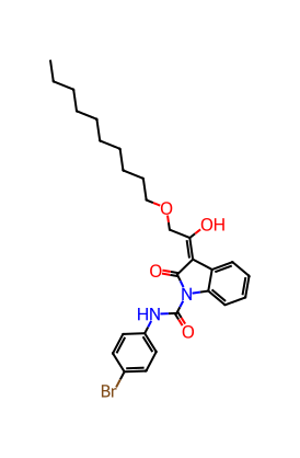 CCCCCCCCCCOCC(O)=C1C(=O)N(C(=O)Nc2ccc(Br)cc2)c2ccccc21